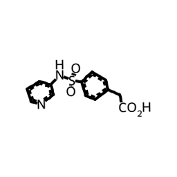 O=C(O)Cc1ccc(S(=O)(=O)Nc2cccnc2)cc1